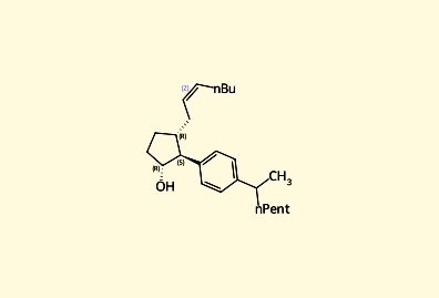 CCCC/C=C\C[C@H]1CC[C@@H](O)[C@@H]1c1ccc(C(C)CCCCC)cc1